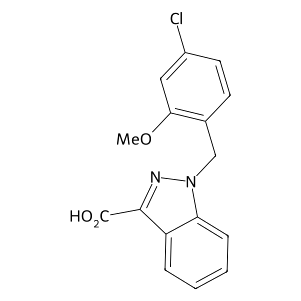 COc1cc(Cl)ccc1Cn1nc(C(=O)O)c2ccccc21